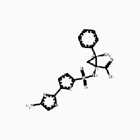 Cc1cnc(-c2ccc(S(=O)(=O)N[C@@]3(C(=O)O)C[C@]3(C)c3ccccc3)s2)o1